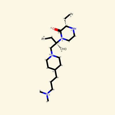 CC(C)C[C@@H]1NCCN([C@](C=O)(CC(C)C)CN2CCC(CCCN(C)C)CC2)C1=O